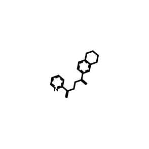 C=C(CCC(=C)c1ccccn1)c1ccc2c(c1)CCCC2